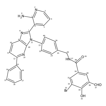 Nc1ncccc1-c1nc2ccc(-c3ccccc3)nc2n1-c1ccc(CNC(=O)c2cc(Br)c(O)c(C=O)c2)cc1